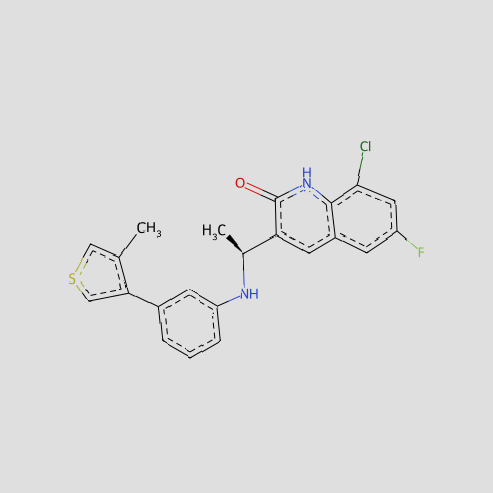 Cc1cscc1-c1cccc(N[C@@H](C)c2cc3cc(F)cc(Cl)c3[nH]c2=O)c1